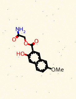 COc1ccc2cc(O)c(C(=O)OCC(N)=O)cc2c1